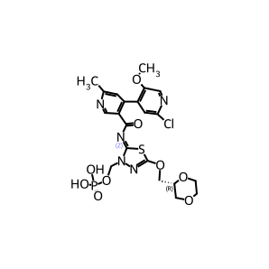 COc1cnc(Cl)cc1-c1cc(C)ncc1C(=O)/N=c1\sc(OC[C@H]2COCCO2)nn1COP(=O)(O)O